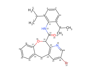 CC(C)c1cccc(C(C)C)c1NC(=O)C1Oc2ccccc2Cc2cc(Br)cnc21